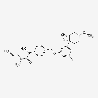 C=CCN(C)C(=O)N(C)c1ccc(COc2cc(F)cc([C@]3(OC)CC[C@@H](OC)CC3)c2)cc1